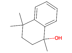 CC1(C)CCC(C)(O)c2ccccc21